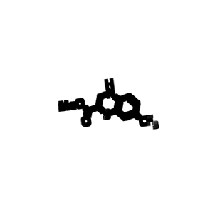 COC(=O)C1CNc2ccc(C(F)(F)F)cc2S1